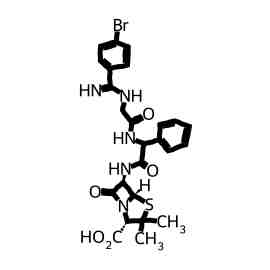 CC1(C)S[C@@H]2[C@H](NC(=O)C(NC(=O)CNC(=N)c3ccc(Br)cc3)c3ccccc3)C(=O)N2[C@H]1C(=O)O